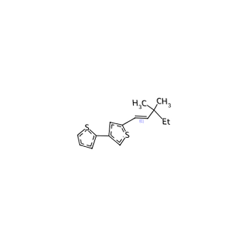 CCC(C)(C)/C=C/c1cc(-c2cccs2)cs1